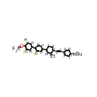 CCCCc1ccc(C#Cc2ccc(-c3ccc(-c4cc(F)c(OC(F)(F)F)c(F)c4)c(F)c3)cc2CC)cc1